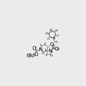 CC(C)(C)OC(=O)N1CCCC2(CCN2C(=O)OCc2ccccc2)C1